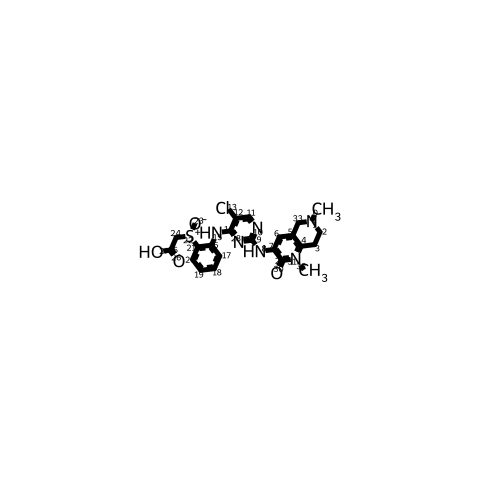 CN1CCc2c(cc(Nc3ncc(Cl)c(Nc4ccccc4[S+]([O-])CC(=O)O)n3)c(=O)n2C)C1